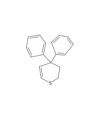 C1=CC(c2ccccc2)(c2ccccc2)CCS1